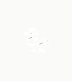 CCCC(CCC)(NC)C(=O)NC(C(N)=C1CCC1)C(C)O